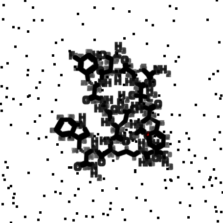 CNC(=N)NCCC[C@H](NC(=O)[C@H](CC(C)C)NC(=O)NNC(=O)[C@H](Cc1cccc(F)c1)NC(=O)[C@@H](NC(=O)[C@H](CC(N)=O)NC(=O)C(C)(C)NC(=O)[C@@H](Cc1ccc(O)cc1)NC(C)=O)[C@@H](C)O)C(=O)N[C@@H](Cc1c[nH]c2ccccc12)C(N)=O